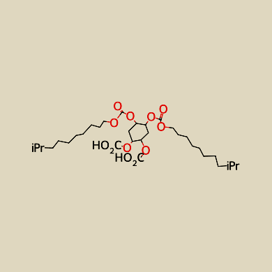 CC(C)CCCCCCCCOC(=O)OC1CC(OC(=O)O)C(OC(=O)O)CC1OC(=O)OCCCCCCCCC(C)C